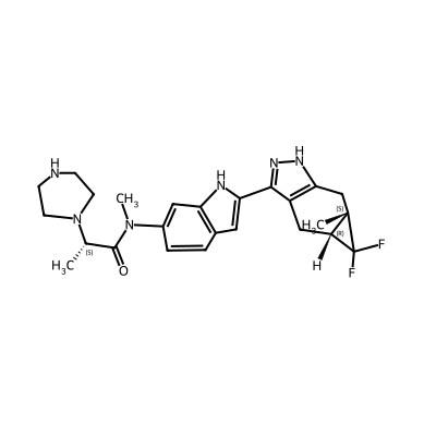 C[C@@H](C(=O)N(C)c1ccc2cc(-c3n[nH]c4c3C[C@H]3C(F)(F)[C@@]3(C)C4)[nH]c2c1)N1CCNCC1